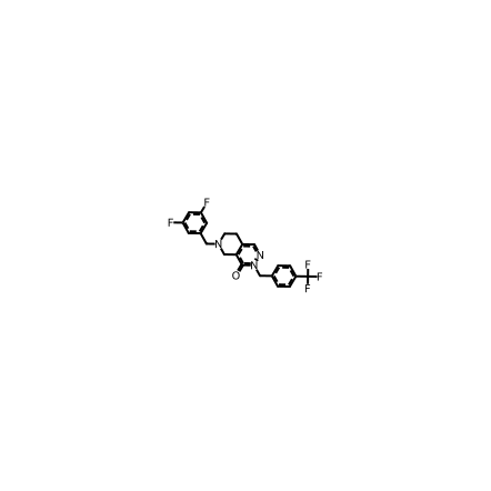 O=c1c2c(cnn1Cc1ccc(C(F)(F)F)cc1)CCN(Cc1cc(F)cc(F)c1)C2